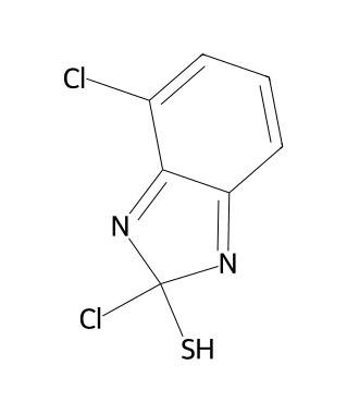 SC1(Cl)N=c2cccc(Cl)c2=N1